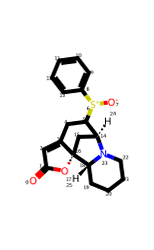 O=C1C=C2CC([S+]([O-])c3ccccc3)[C@@H]3C[C@@]2(O1)[C@H]1CCCCN31